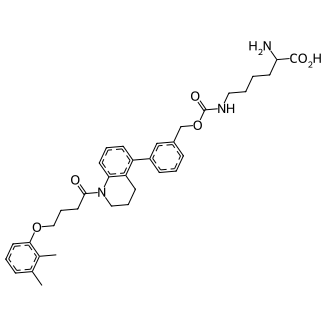 Cc1cccc(OCCCC(=O)N2CCCc3c(-c4cccc(COC(=O)NCCCCC(N)C(=O)O)c4)cccc32)c1C